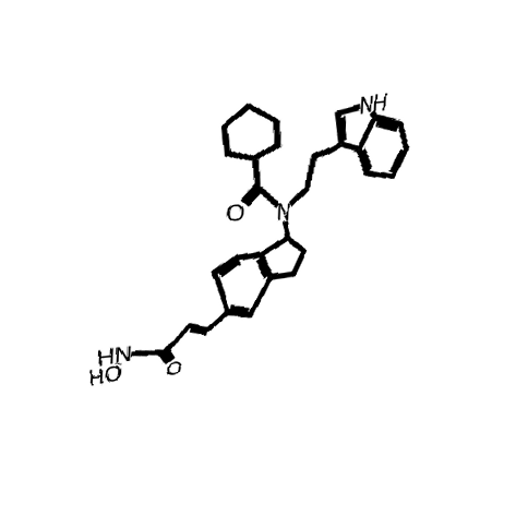 O=C(/C=C/c1ccc2c(c1)CCC2N(CCc1c[nH]c2ccccc12)C(=O)C1CCCCC1)NO